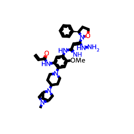 C=CC(=O)Nc1cc(NC(=N)/C=C(\NN)N2OCC[C@@H]2c2ccccc2)c(OC)cc1N1CCC(N2CC3CC2CN3C)CC1